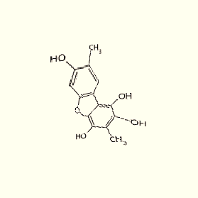 Cc1cc2c(cc1O)oc1c(O)c(C)c(O)c(O)c12